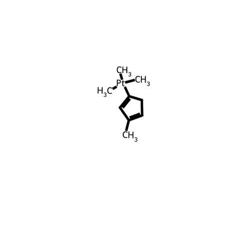 CC1=CC[C]([Pt]([CH3])([CH3])[CH3])=C1